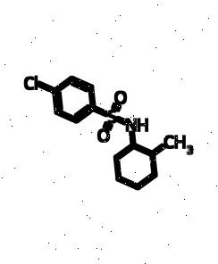 CC1CCCCC1NS(=O)(=O)c1ccc(Cl)cc1